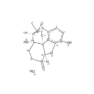 C[N+]1([O-])CC[C@]23c4c5ccc(O)c4O[C@H]2C(=O)CC[C@@]3(O)[C@H]1C5.Cl